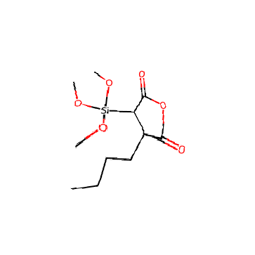 CCCCC1C(=O)OC(=O)C1[Si](OC)(OC)OC